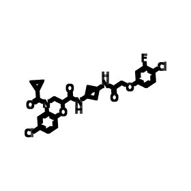 O=C(COc1ccc(Cl)c(F)c1)NC12CC(NC(=O)C3CN(C(=O)C4CC4)c4cc(Cl)ccc4O3)(C1)C2